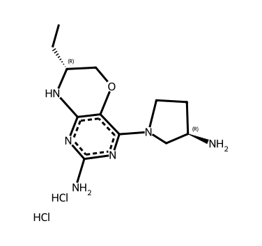 CC[C@@H]1COc2c(nc(N)nc2N2CC[C@@H](N)C2)N1.Cl.Cl